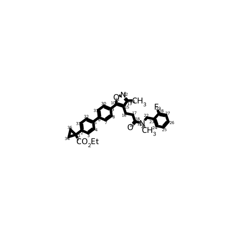 CCOC(=O)C1(c2ccc(-c3ccc(-c4onc(C)c4CCC(=O)N(C)Cc4ccccc4F)cc3)cc2)CC1